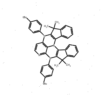 CC(C)(C)c1ccc(N2C3=C(B4C5=C(N(c6ccc(C(C)(C)C)cc6)c6nccc2c64)C(C)(C)c2ccccc25)c2ccccc2C3(C)C)cc1